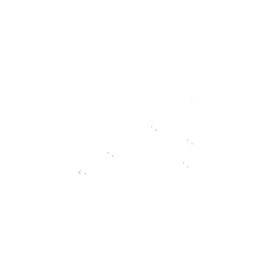 O=NN1CCn2c(nnc2C(F)(F)F)C1